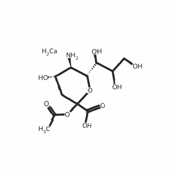 CC(=O)OC1(C(=O)O)C[C@H](O)[C@@H](N)[C@H](C(O)C(O)CO)O1.[CaH2]